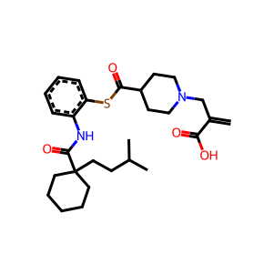 C=C(CN1CCC(C(=O)Sc2ccccc2NC(=O)C2(CCC(C)C)CCCCC2)CC1)C(=O)O